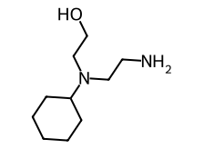 NCCN(CCO)C1CCCCC1